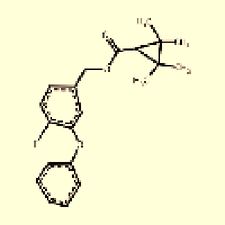 CC1(C)C(C(=O)OCc2ccc(F)c(Oc3ccccc3)c2)C1(C)C